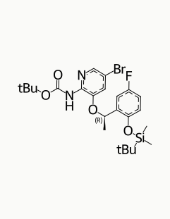 C[C@@H](Oc1cc(Br)cnc1NC(=O)OC(C)(C)C)c1cc(F)ccc1O[Si](C)(C)C(C)(C)C